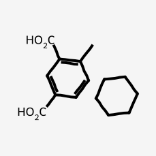 C1CCCCC1.Cc1ccc(C(=O)O)cc1C(=O)O